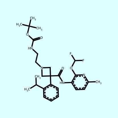 Cc1ccc(NC(=O)C2(c3ccccc3C(C)C)CN(CCNC(=O)OC(C)(C)C)C2)c(OC(F)F)n1